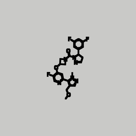 COCc1cnn(C)c1-c1cc(OC2CN(C(=O)N3N=CCC3c3cc(F)cc(F)c3)C2)c(F)cn1